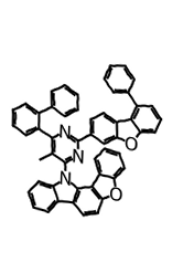 Cc1c(-c2ccccc2-c2ccccc2)nc(-c2ccc3c(c2)oc2cccc(-c4ccccc4)c23)nc1-n1c2ccccc2c2ccc3oc4ccccc4c3c21